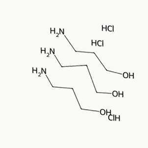 Cl.Cl.Cl.NCCCO.NCCCO.NCCCO